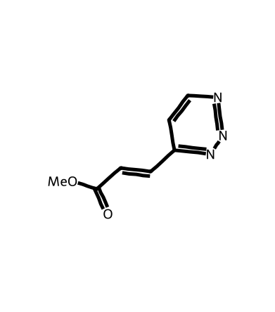 COC(=O)C=Cc1ccnnn1